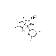 CCC(C)[Si](c1cc(C)cc(C)c1)(C(C)CC)[C]1([Ti+3])C(C)=C(C)C(C)=C1C.[Cl-].[Cl-].[Cl-]